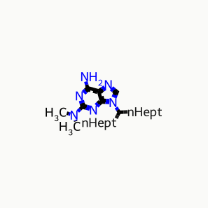 CCCCCCCC(CCCCCCC)n1cnc2c(N)nc(N(C)C)nc21